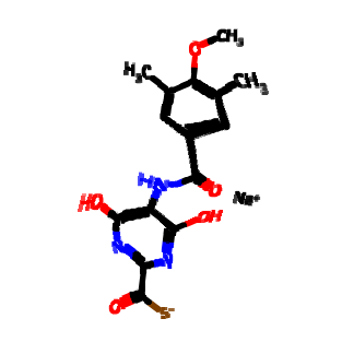 COc1c(C)cc(C(=O)Nc2c(O)nc(C(=O)[S-])nc2O)cc1C.[Na+]